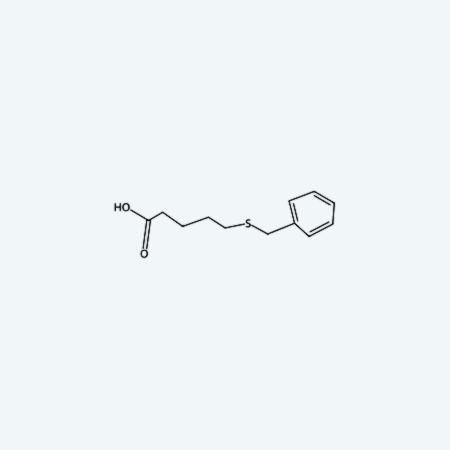 O=C(O)CCCCSCc1ccccc1